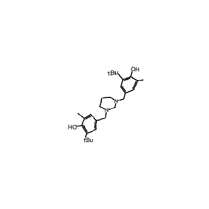 Cc1cc(CN2CCCN(Cc3cc(C)c(O)c(C(C)(C)C)c3)C2)cc(C(C)(C)C)c1O